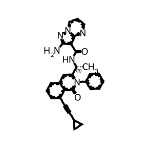 C[C@@H](NC(=O)c1c(N)nn2cccnc12)c1cc2cccc(C#CC3CC3)c2c(=O)n1-c1ccccc1